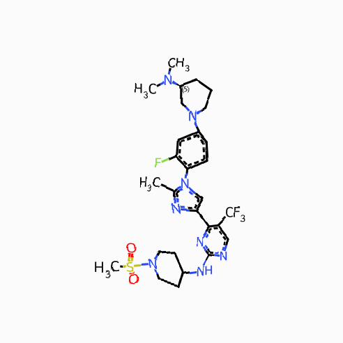 Cc1nc(-c2nc(NC3CCN(S(C)(=O)=O)CC3)ncc2C(F)(F)F)cn1-c1ccc(N2CCC[C@H](N(C)C)C2)cc1F